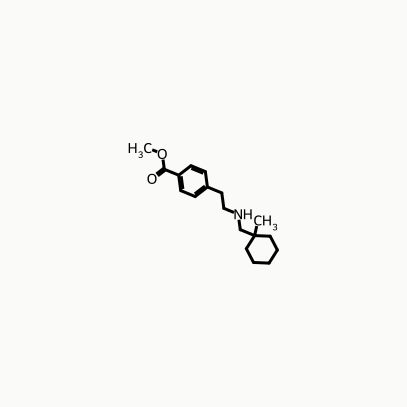 COC(=O)c1ccc(CCNCC2(C)CCCCC2)cc1